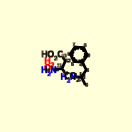 CC(N)Cc1ccccc1.NC(CC(=O)O)C(=O)O.O